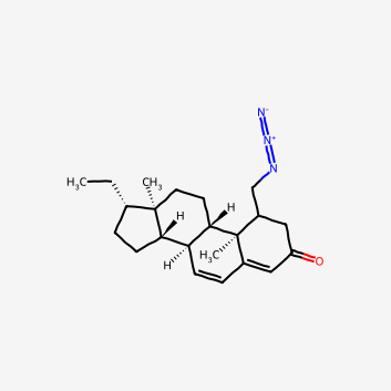 CC[C@H]1CC[C@H]2[C@@H]3C=CC4=CC(=O)CC(CN=[N+]=[N-])[C@]4(C)[C@H]3CC[C@]12C